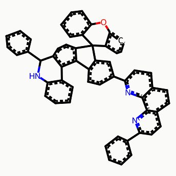 c1ccc(-c2ccc3ccc4ccc(-c5ccc6c(c5)C5(c7ccccc7Oc7ccccc75)c5ccc7c(c5-6)-c5ccccc5NC7c5ccccc5)nc4c3n2)cc1